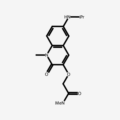 CNC(=O)COc1cc2cc(NC(C)C)ccc2n(C)c1=O